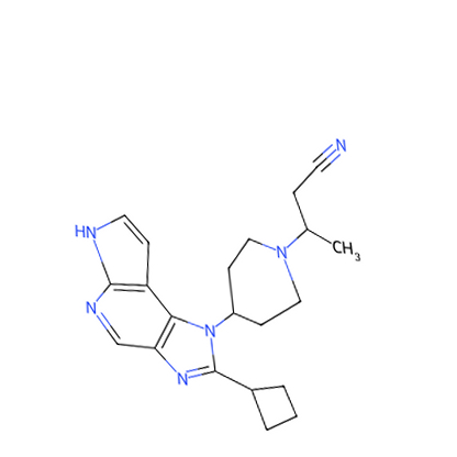 CC(CC#N)N1CCC(n2c(C3CCC3)nc3cnc4[nH]ccc4c32)CC1